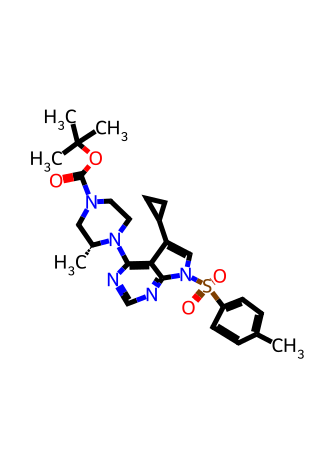 Cc1ccc(S(=O)(=O)n2cc(C3CC3)c3c(N4CCN(C(=O)OC(C)(C)C)C[C@H]4C)ncnc32)cc1